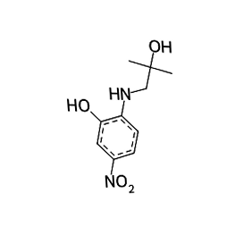 CC(C)(O)CNc1ccc([N+](=O)[O-])cc1O